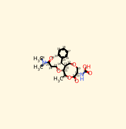 C[C@@H]1OC(=O)[C@@H](NC(=O)O)COC[C@H](Cc2ccccc2)[C@H]1OCCC(=O)N(C)C